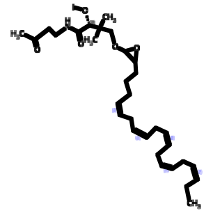 CC/C=C\C/C=C\C/C=C\C/C=C\C/C=C\CCCC1OC1OCC(C)(C)[C@@H](OI)C(=O)NCCC(C)=O